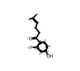 CC(C)=CCCC(=O)c1ccc(O)cc1F